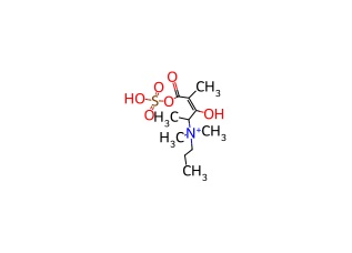 CCC[N+](C)(C)C(C)C(O)=C(C)C(=O)OS(=O)(=O)O